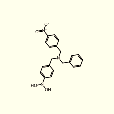 O=[N+]([O-])c1ccc(CN(Cc2ccccc2)Cc2ccc(N(O)O)cc2)cc1